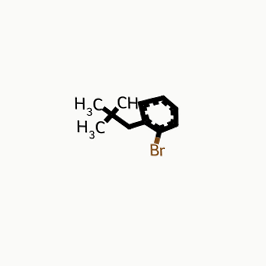 CC(C)(C)Cc1[c]cccc1Br